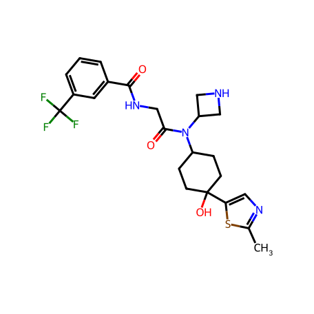 Cc1ncc(C2(O)CCC(N(C(=O)CNC(=O)c3cccc(C(F)(F)F)c3)C3CNC3)CC2)s1